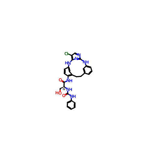 O=C(Nc1ccccc1)N[C@@H](CO)C(=O)Nc1ccc2cc1CCc1cccc(c1)Nc1ncc(Cl)c(n1)N2